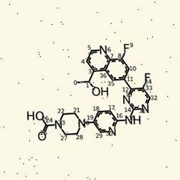 CC(O)c1ccnc2c(F)cc(-c3nc(Nc4ccc(N5CCN(C(=O)O)CC5)cn4)ncc3F)cc12